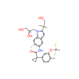 Cc1ccc(C2(C(=O)Nc3cc4cc(C(C)(C)CO)n(C[C@@H](O)CO)c4cc3F)CC2)cc1OC(C)(F)F